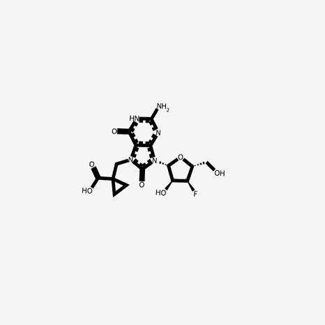 Nc1nc2c(c(=O)[nH]1)n(CC1(C(=O)O)CC1)c(=O)n2[C@@H]1O[C@H](CO)[C@@H](F)[C@H]1O